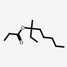 [CH2]CC(=O)OC(C)(CC)CCCCC